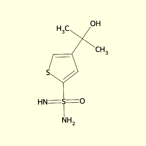 CC(C)(O)c1csc(S(=N)(N)=O)c1